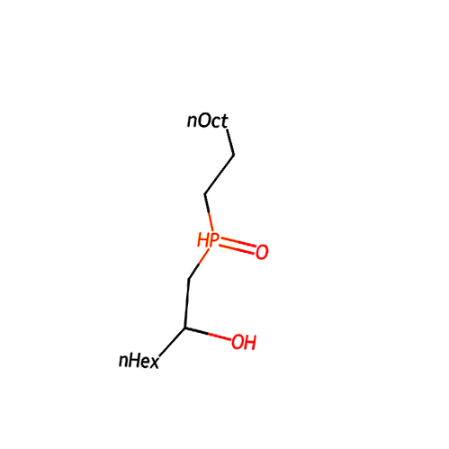 CCCCCCCCCC[PH](=O)CC(O)CCCCCC